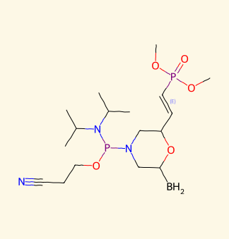 BC1CN(P(OCCC#N)N(C(C)C)C(C)C)CC(/C=C/P(=O)(OC)OC)O1